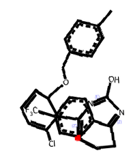 Cc1ccc(COC2C=CC=C(Cl)C2C2=C/CC/C(c3ccc(C(F)(F)F)cc3)=N/C(O)=N\2)cc1